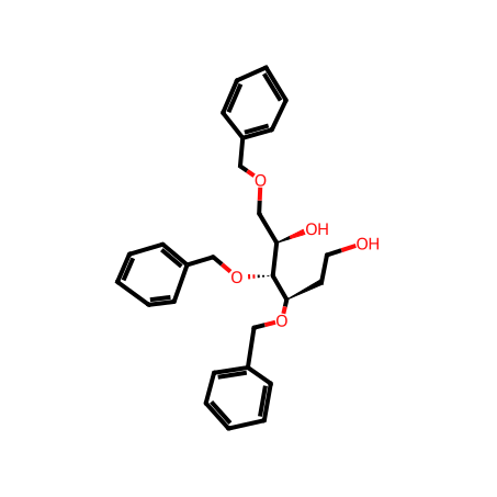 OCC[C@@H](OCc1ccccc1)[C@H](OCc1ccccc1)[C@H](O)COCc1ccccc1